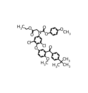 CCOC(=O)CN(C(=O)Oc1ccc(OC)cc1)c1cc(Cl)c(Oc2ccc(OC)c(C(=O)c3ccc(C(C)(C)C)cc3)c2)c(Cl)c1